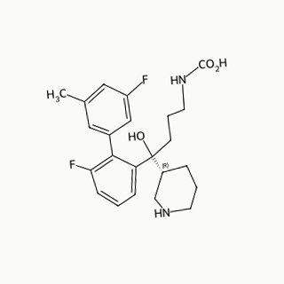 Cc1cc(F)cc(-c2c(F)cccc2C(O)(CCCNC(=O)O)[C@@H]2CCCNC2)c1